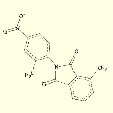 Cc1cc([N+](=O)[O-])ccc1N1C(=O)c2cccc(C)c2C1=O